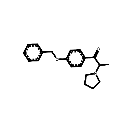 CC(C(=O)c1ccc(OCc2ccccc2)cc1)N1CCCC1